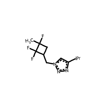 CC(C)c1cn(CC2CC(C)(F)C2(F)F)nn1